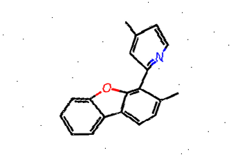 Cc1ccnc(-c2c(C)ccc3c2oc2ccccc23)c1